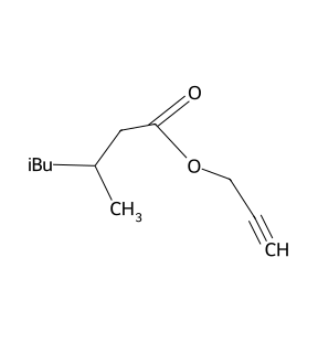 C#CCOC(=O)CC(C)C(C)CC